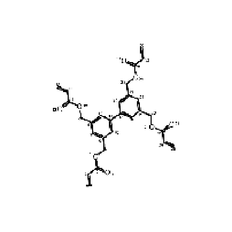 C=CC(=O)OCc1cc(COC(=O)C=C)cc(-c2cc(COC(=O)C=C)cc(COC(=O)C=C)c2)c1